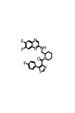 O=C(c1ncsc1-c1ccc(F)cc1)N1CCCCC1CNc1cnc2cc(F)c(F)cc2n1